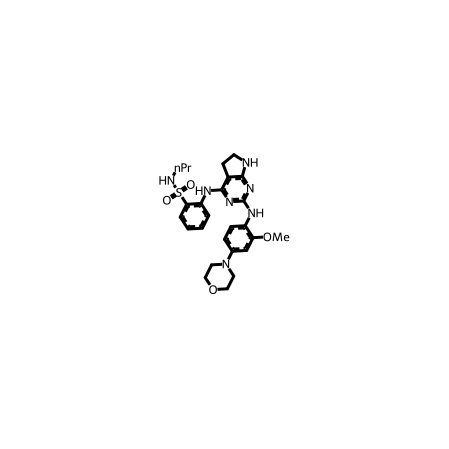 CCCNS(=O)(=O)c1ccccc1Nc1nc(Nc2ccc(N3CCOCC3)cc2OC)nc2c1CCN2